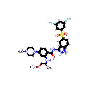 COC[C@H](C)Nc1cc(N2CCN(C)CC2)ccc1C(=O)Nc1n[nH]c2ccc(S(=O)(=O)c3cc(F)cc(F)c3)cc12